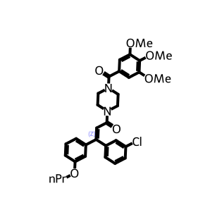 CCCOc1cccc(/C(=C/C(=O)N2CCN(C(=O)c3cc(OC)c(OC)c(OC)c3)CC2)c2cccc(Cl)c2)c1